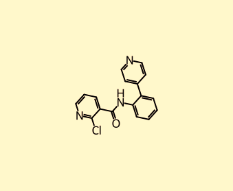 O=C(Nc1ccccc1-c1ccncc1)c1cccnc1Cl